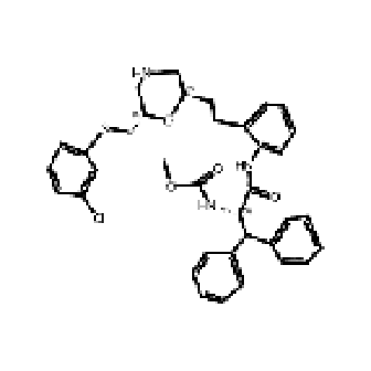 COC(=O)N[C@H](C(=O)Nc1ccccc1CC[C@@H]1CNC[C@@H](CSc2cccc(Cl)c2)O1)C(c1ccccc1)c1ccccc1